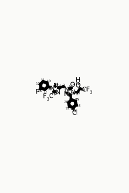 O=c1n(Cc2nc(C(F)(F)F)n(-c3cccc(F)c3)n2)nc(-c2ccc(Cl)cc2)n1CC(O)C(F)(F)F